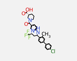 Cc1cc(-c2ccc(Cl)cc2)ccc1C(CCC(F)(F)F)Nc1ccc(C(=O)N2CCC[C@@H](C(=O)O)C2)cn1